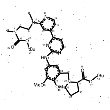 COc1cc(Nc2nccc(-c3ccnc(N(C)CCN(C)C(=O)OC(C)(C)C)c3)n2)cc(CN2CCCC2C(=O)OC(C)(C)C)c1OC